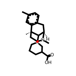 Cc1ccc2c(c1)[C@]1(C)CCN(C)[C@H](C2)C1N1CCCC(C(=O)O)C1